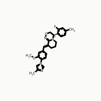 COc1cc(/C=C2\CCCN3C2=NOC[C@H]3c2ccc(C)cc2F)ccc1-n1cnc(C)c1